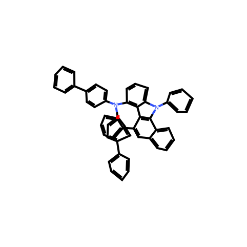 c1ccc(-c2ccc(N(c3ccc(-c4ccccc4)cc3)c3cccc4c3c3c(-c5ccccc5)cc5ccccc5c3n4-c3ccccc3)cc2)cc1